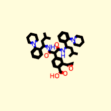 CC(C)CC(NC(=O)C(C(=O)NC(CC(C)C)c1ccccc1N1CCCCC1)c1ccc(C(=O)O)c(C2CO2)c1)c1ccccc1N1CCCCC1